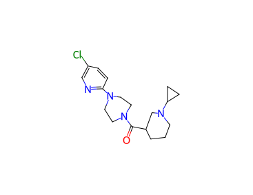 O=C(C1CCCN(C2CC2)C1)N1CCN(c2ccc(Cl)cn2)CC1